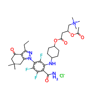 CCc1nn(-c2c(F)c(F)c(C(N)=O)c(NC3CCC(OC(=O)CC(C[N+](C)(C)C)OC(C)=O)CC3)c2F)c2c1C(=O)CC(C)(C)C2.[Cl-]